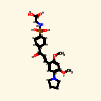 COc1cc(OC)c(N2CCCC2)cc1C=CC(=O)c1ccc(S(=O)(=O)NCC(=O)O)cc1